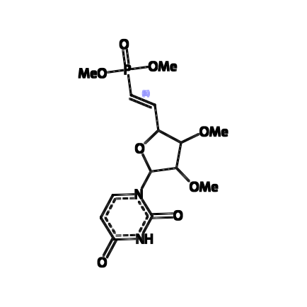 COC1C(/C=C/P(=O)(OC)OC)OC(n2ccc(=O)[nH]c2=O)C1OC